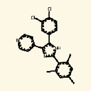 Cc1cc(C)c(-c2nc(-c3ccncc3)c(-c3ccc(Cl)c(Cl)c3)[nH]2)c(C)c1